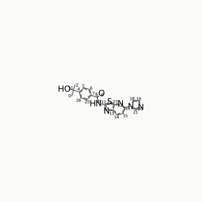 CC(C)(O)c1ccc(C(=O)Nc2nc3ccc(-n4ccnc4)nc3s2)cc1